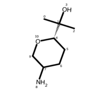 CC(C)(O)[C@@H]1CCC(N)CO1